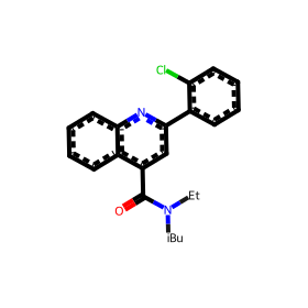 CCC(C)N(CC)C(=O)c1cc(-c2ccccc2Cl)nc2ccccc12